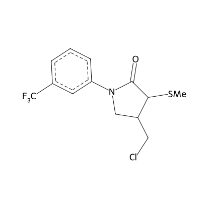 CSC1C(=O)N(c2cccc(C(F)(F)F)c2)CC1CCl